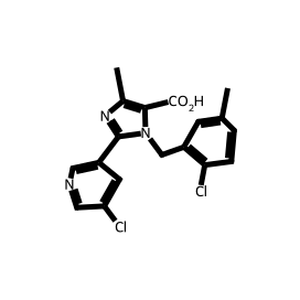 Cc1ccc(Cl)c(Cn2c(-c3cncc(Cl)c3)nc(C)c2C(=O)O)c1